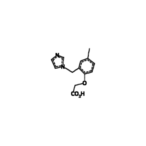 Cc1ccc(OCC(=O)O)c(Cn2ccnc2)c1